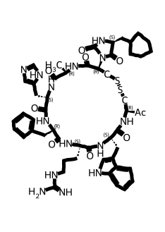 CC(=O)[C@@H]1CSSC[C@H](N2C(=O)N[C@@H](CC3CCCCC3)C2=O)C(=O)N[C@H](C)C(=O)N[C@@H](Cc2cnc[nH]2)C(=O)N[C@H](Cc2ccccc2)C(=O)N[C@@H](CCCNC(=N)N)C(=O)N[C@@H](Cc2c[nH]c3ccccc23)C(=O)N1